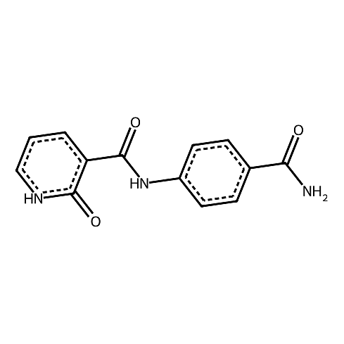 NC(=O)c1ccc(NC(=O)c2ccc[nH]c2=O)cc1